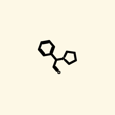 O=CC(c1ccccc1)N1CCCC1